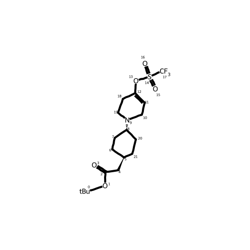 CC(C)(C)OC(=O)C[C@H]1CC[C@H](N2CC=C(OS(=O)(=O)C(F)(F)F)CC2)CC1